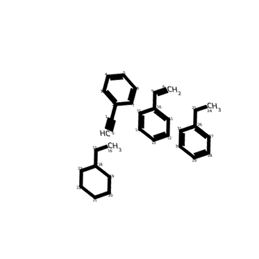 C#Cc1ccccc1.C=Cc1ccccc1.CCC1CCCCC1.CCc1ccccc1